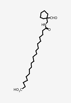 O=CC1(CNC(=O)CCCCCCCCCCCCCCCCCCC(=O)O)CCCCC1